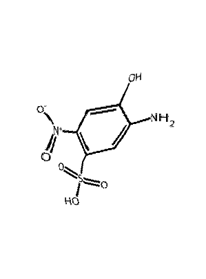 Nc1cc(S(=O)(=O)O)c([N+](=O)[O-])cc1O